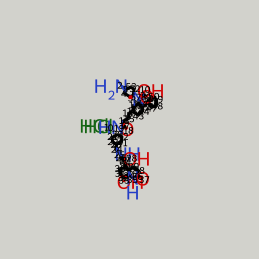 Cl.Cl.NC1CCC(N(C(=O)O)c2cc(CCCC(=O)NC3CCC(CNC[C@H](O)c4ccc(O)c5[nH]c(=O)ccc45)CC3)ccc2-c2ccccc2)CC1